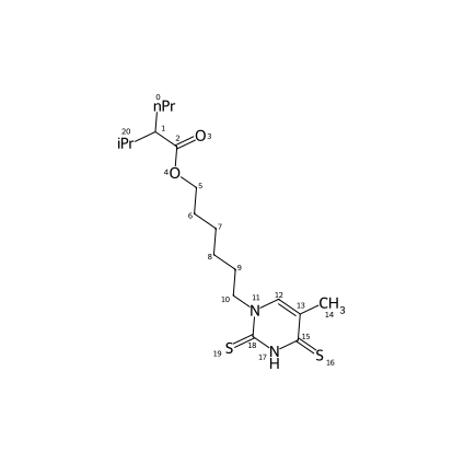 CCCC(C(=O)OCCCCCCn1cc(C)c(=S)[nH]c1=S)C(C)C